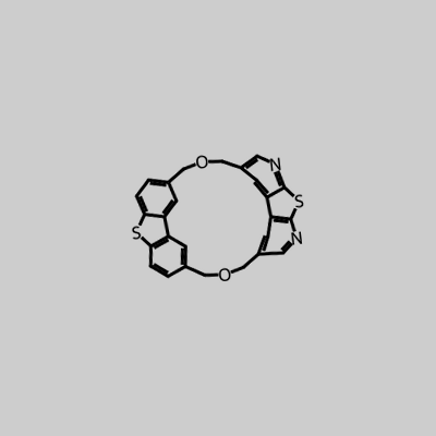 c1cc2sc3ccc4cc3c2cc1COCc1cnc2sc3ncc(cc3c2c1)COC4